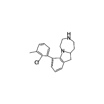 Cc1cccc(-c2cccc3c2N2CCNCCC2C3)c1Cl